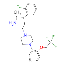 CC(N)C(CCN1CCN(c2ccccc2OCC(F)(F)F)CC1)c1ccccc1F